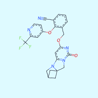 N#Cc1cccc(COc2cc3n(c(=O)n2)CC24CC(CN32)C4)c1Oc1ccnc(C(F)(F)F)c1